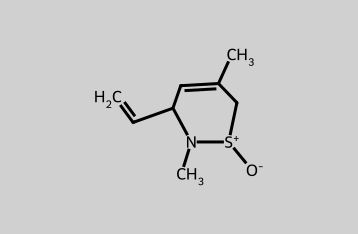 C=CC1C=C(C)C[S+]([O-])N1C